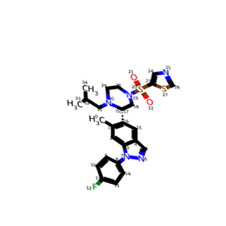 Cc1cc2c(cnn2-c2ccc(F)cc2)cc1[C@H]1CN(S(=O)(=O)c2cncs2)CCN1CC(C)C